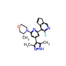 Cc1n[nH]c(C)c1-c1cc(-c2c(F)ncc3c2C=CC3)nc(N2CCOC[C@H]2C)c1